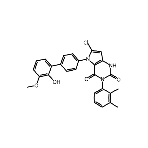 COc1cccc(-c2ccc(-n3c(Cl)cc4[nH]c(=O)n(-c5cccc(C)c5C)c(=O)c43)cc2)c1O